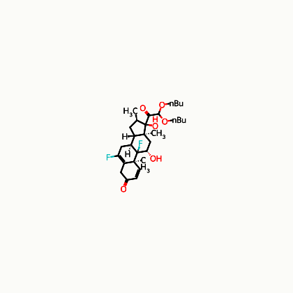 CCCCOC(OCCCC)C(=O)[C@@]1(O)[C@H](C)C[C@H]2[C@@H]3CC(F)=C4CC(=O)C=C[C@]4(C)[C@@]3(F)[C@@H](O)C[C@@]21C